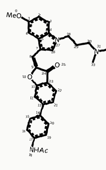 COc1ccc2c(c1)c(C=C1Oc3cc(-c4ccc(NC(C)=O)cc4)ccc3C1=O)cn2CCCN(C)C